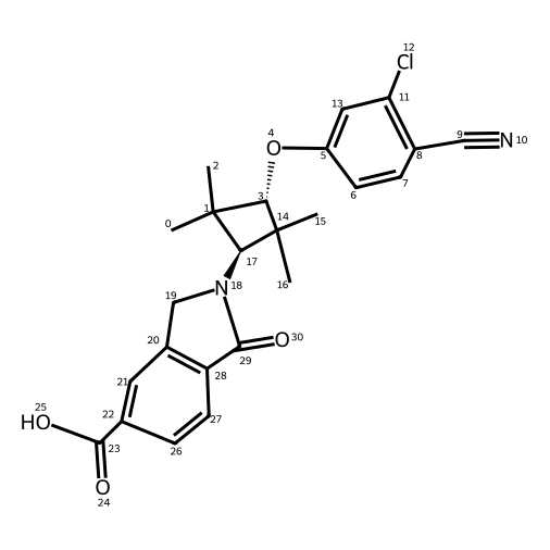 CC1(C)[C@H](Oc2ccc(C#N)c(Cl)c2)C(C)(C)[C@H]1N1Cc2cc(C(=O)O)ccc2C1=O